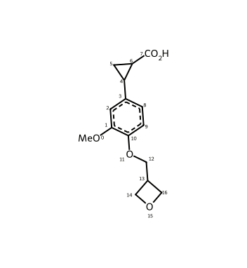 COc1cc(C2CC2C(=O)O)ccc1OCC1COC1